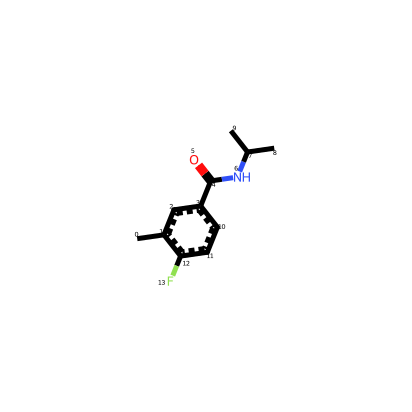 Cc1cc(C(=O)NC(C)C)ccc1F